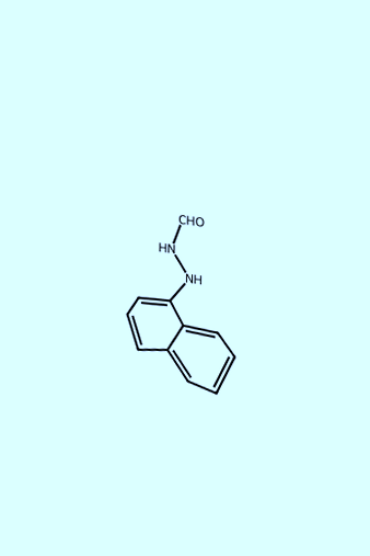 O=CNNc1cccc2ccccc12